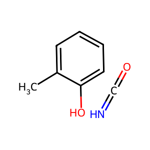 Cc1ccccc1O.N=C=O